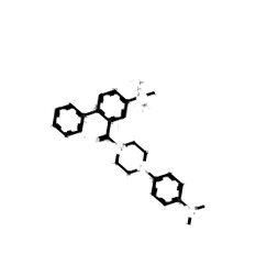 CN(C)c1ccc(N2CCN(C(=O)c3cc(S(C)(=O)=O)ccc3-c3ccccc3)CC2)cc1